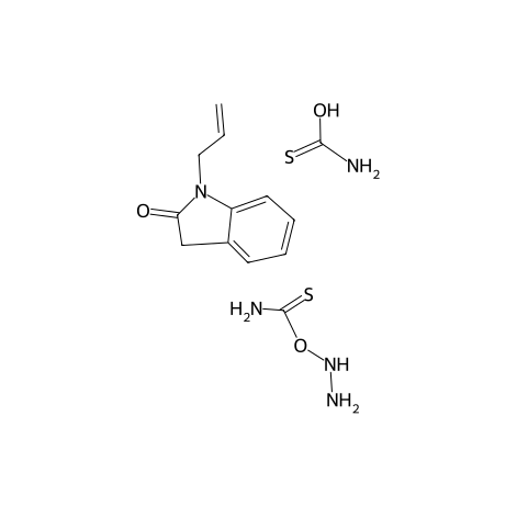 C=CCN1C(=O)Cc2ccccc21.NC(O)=S.NNOC(N)=S